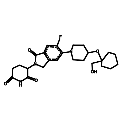 O=C1CCC(N2Cc3cc(N4CCC(OC5(CO)CCCCC5)CC4)c(F)cc3C2=O)C(=O)N1